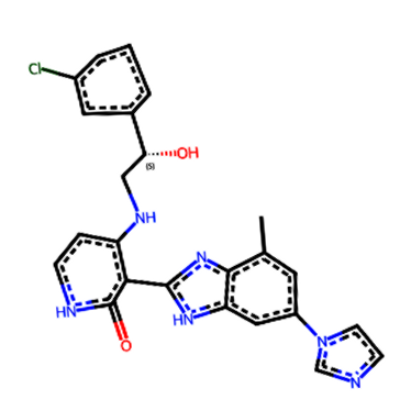 Cc1cc(-n2ccnc2)cc2[nH]c(-c3c(NC[C@@H](O)c4cccc(Cl)c4)cc[nH]c3=O)nc12